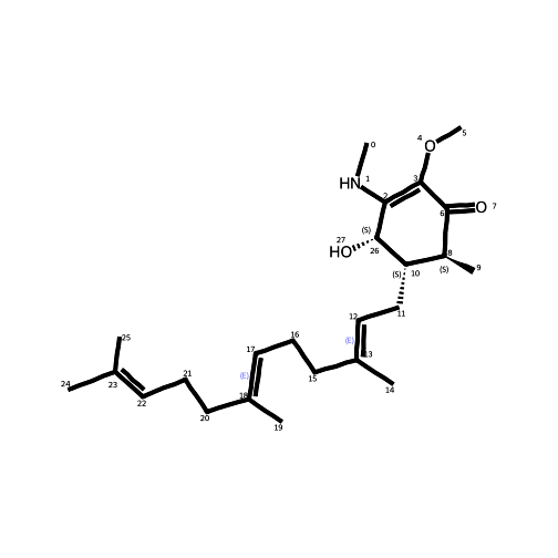 CNC1=C(OC)C(=O)[C@@H](C)[C@H](C/C=C(\C)CC/C=C(\C)CCC=C(C)C)[C@@H]1O